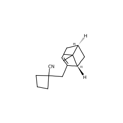 CC1(C)[C@H]2CC=C(CC3(C#N)CCC3)[C@H]1C2